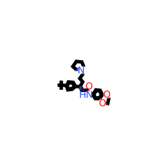 CC(C)(C)c1ccc(/C(=C/C(=O)Nc2ccc3c(c2)OCCO3)CCCN2CCCCC2)cc1